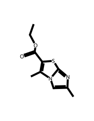 CCOC(=O)c1sc2nc(C)cn2c1C